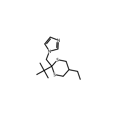 CCC1CSC(Cn2ccnc2)(C(C)(C)C)SC1